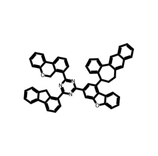 c1ccc2c(c1)Cc1c(-c3nc(-c4cc(C5CCc6cc7ccccc7cc6-c6ccccc65)c5c(c4)oc4ccccc45)nc(-c4cccc5c4COc4ccccc4-5)n3)cccc1-2